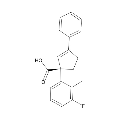 Cc1c(F)cccc1[C@]1(C(=O)O)C=C(c2ccccc2)CC1